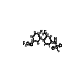 CS(=O)(=O)Nc1ccc(-c2cccc(OC(F)(F)F)c2)c(C(F)(F)F)c1